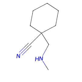 CNCC1(C#N)CCCCC1